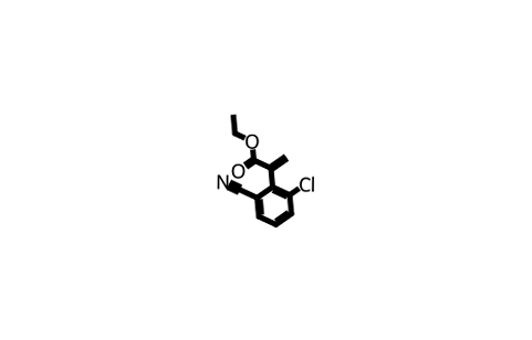 C=C(C(=O)OCC)c1c(Cl)cccc1C#N